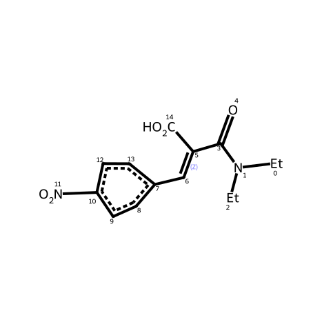 CCN(CC)C(=O)/C(=C/c1ccc([N+](=O)[O-])cc1)C(=O)O